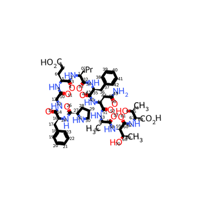 CC(C)[C@H](NC(=O)[C@H](CCC(=O)O)NC(=O)CNC(=O)[C@H](Cc1ccccc1)NC(=O)[C@@H]1CCCN1)C(=O)N[C@@H](Cc1ccccc1)C(=O)N[C@@H](CC(N)=O)C(=O)N[C@@H](C)C(=O)N[C@H](C(=O)N[C@H](C(=O)O)[C@@H](C)O)[C@@H](C)O